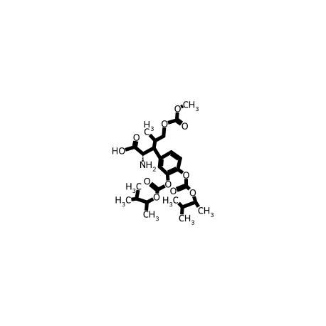 COC(=O)OCC(C)C(c1ccc(OC(=O)OC(C)C(C)C)c(OC(=O)OC(C)C(C)C)c1)[C@H](N)C(=O)O